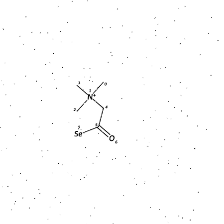 C[N+](C)(C)CC(=O)[Se-]